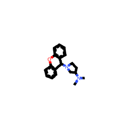 CN(C)C1CCN(C2c3ccccc3Oc3ccccc32)C1